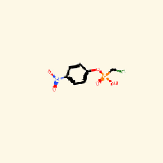 O=[N+]([O-])c1ccc(OP(=O)(O)CCl)cc1